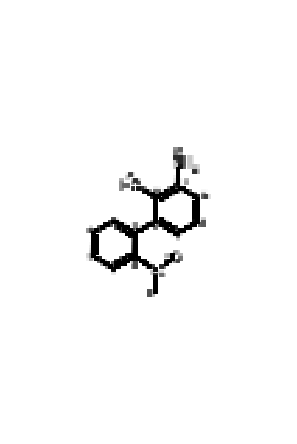 C[S+]([O-])c1ccccc1-c1cccc(N)c1O